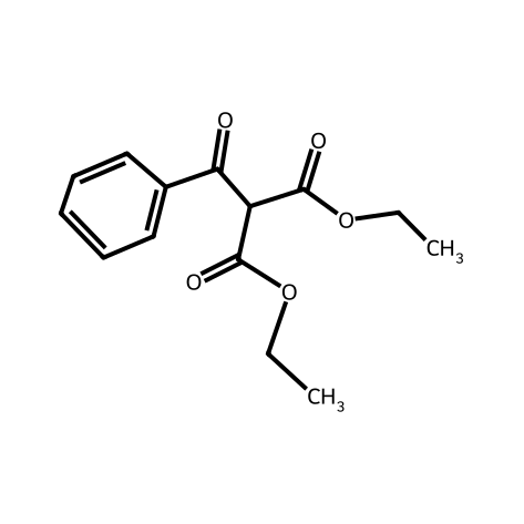 CCOC(=O)C(C(=O)OCC)C(=O)c1ccccc1